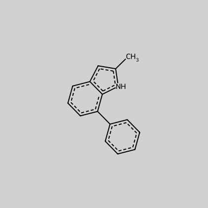 Cc1cc2cccc(-c3ccccc3)c2[nH]1